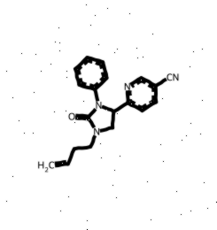 C=CCCN1CC(c2ccc(C#N)cn2)N(c2ccccc2)C1=O